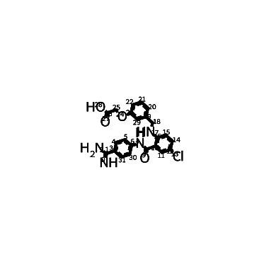 N=C(N)c1ccc(NC(=O)c2cc(Cl)ccc2NCc2cccc(OCC(=O)O)c2)cc1